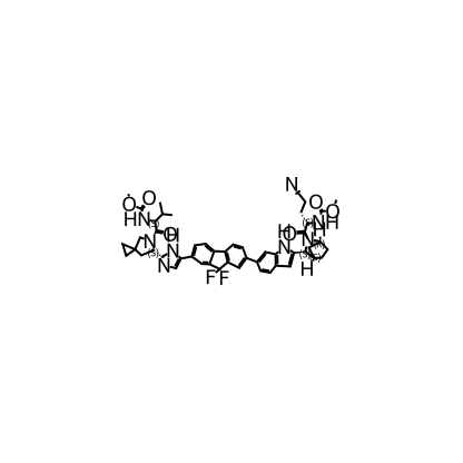 COC(=O)N[C@@H](CCC#N)C(=O)N1[C@@H]2CC[C@@H](C2)[C@H]1c1cc2ccc(-c3ccc4c(c3)C(F)(F)c3cc(-c5cnc([C@@H]6CC7(CC7)CN6C(=O)[C@@H](NC(=O)OC)C(C)C)[nH]5)ccc3-4)cc2[nH]1